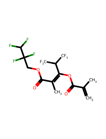 C=C(C)C(=O)OC(=C(C)C(=O)OCC(F)(F)C(F)F)C(C(F)(F)F)C(F)(F)F